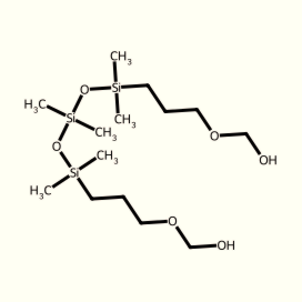 C[Si](C)(CCCOCO)O[Si](C)(C)O[Si](C)(C)CCCOCO